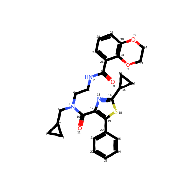 O=C(NCCN(CC1CC1)C(=O)c1nc(C2CC2)sc1-c1ccccc1)c1cccc2c1OCCO2